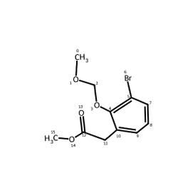 COCOc1c(Br)cccc1CC(=O)OC